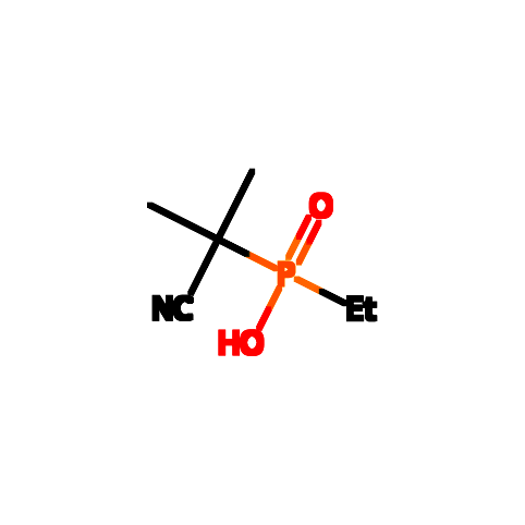 CCP(=O)(O)C(C)(C)C#N